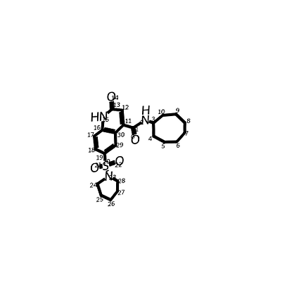 O=C(NC1CCCCCCC1)c1cc(=O)[nH]c2ccc(S(=O)(=O)N3CCCCC3)cc12